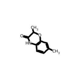 Cc1ccc2c(c1)OC(C)C(=O)N2